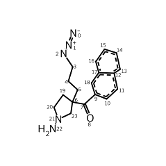 [N-]=[N+]=NCCCC1(C(=O)c2ccc3ccccc3c2)CCN(N)C1